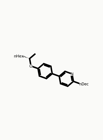 CCCCCCCCCCc1ccc(-c2ccc(O[C@@H](C)CCCCCC)cc2)cn1